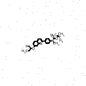 CCC(CF)Oc1ccc2ccc(-c3ccc(N(C)C(=O)OC(C)(C)C)cc3)nc2c1